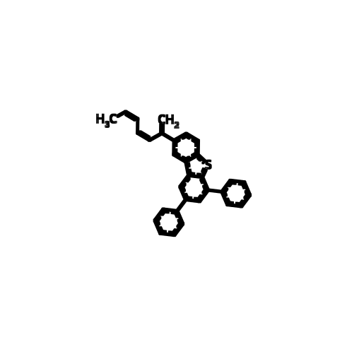 C=C(/C=C\C=C/C)c1ccc2sc3c(-c4ccccc4)cc(-c4ccccc4)cc3c2c1